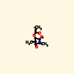 C=CC(=O)OC1C(=C)C(=O)N(C)C1=O